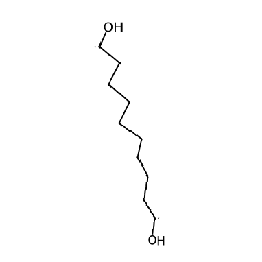 O[CH]CCCCCCCC[CH]O